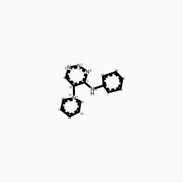 c1ccc(Nc2nnncc2-[n+]2ccccc2)cc1